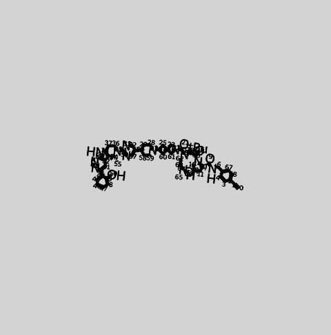 C#Cc1ccc(CNC(=O)[C@@H]2C[C@@H]3CN2C(=O)[C@H](C(C)(C)C)N(C(=O)N2CC4(CC(N5CCC(c6cnc(N7CCc8[nH]c9nnc(-c%10ccccc%10O)cc9c8[C@H]7C)nc6)CC5)C4)C2)CCN(C)O3)cc1